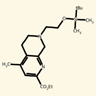 CCOC(=O)c1cc(C)c2c(n1)CN(CCO[Si](C)(C)C(C)(C)C)CC2